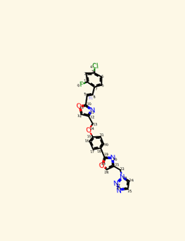 Fc1cc(Cl)ccc1/C=C/c1nc(COc2ccc(-c3nc(Cn4ccnn4)co3)cc2)co1